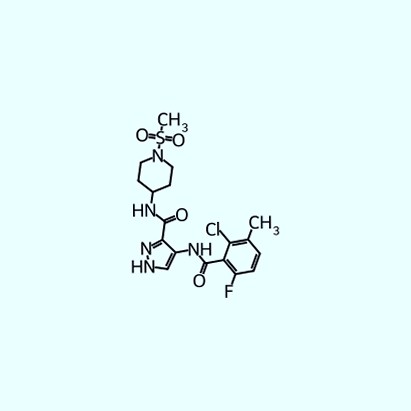 Cc1ccc(F)c(C(=O)Nc2c[nH]nc2C(=O)NC2CCN(S(C)(=O)=O)CC2)c1Cl